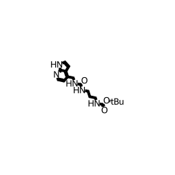 CC(C)(C)OC(=O)NCCCNC(=O)NCc1ccnc2[nH]ccc12